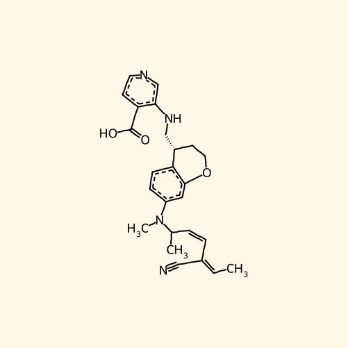 C/C=C(C#N)\C=C/C(C)N(C)c1ccc2c(c1)OCC[C@H]2CNc1cnccc1C(=O)O